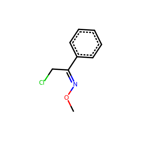 CON=C(CCl)c1ccccc1